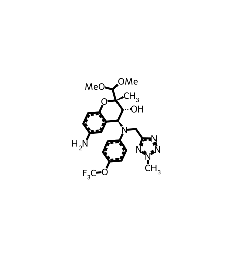 COC(OC)[C@@]1(C)Oc2ccc(N)cc2[C@H](N(Cc2nnn(C)n2)c2ccc(OC(F)(F)F)cc2)[C@H]1O